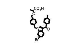 Cc1ccc(C(=O)c2cn(Cc3ccc(CO[C@H](C)C(=O)O)cc3)c3cc(Br)ccc23)cc1